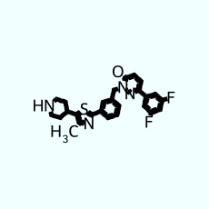 Cc1nc(-c2cccc(Cn3nc(-c4cc(F)cc(F)c4)ccc3=O)c2)sc1C1CCNCC1